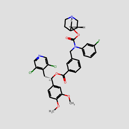 COc1ccc([C@H](Cc2c(Cl)cncc2Cl)OC(=O)c2cccc(CN(C(=O)O[C@H]3CN4CCC3CC4)c3cccc(F)c3)c2)cc1OC